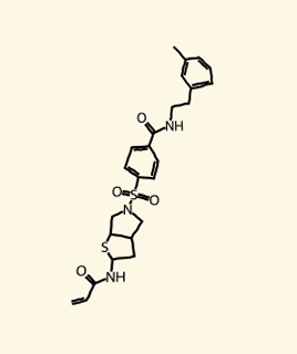 C=CC(=O)NC1CC2CN(S(=O)(=O)c3ccc(C(=O)NCCc4cccc(C)c4)cc3)CC2S1